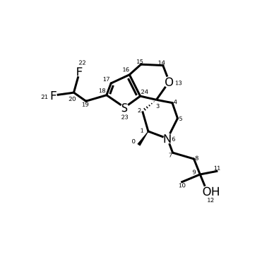 C[C@H]1C[C@@]2(CCN1CCC(C)(C)O)OCCc1cc(CC(F)F)sc12